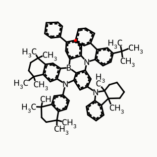 CC(C)(C)c1ccc(N2c3ccc(-c4ccccc4)cc3B3c4cc5c(cc4N(c4ccc6c(c4)C(C)(C)CCC6(C)C)c4cc(N6c7ccccc7C7(C)CCCCC67C)cc2c43)C(C)(C)CCC5(C)C)c(-c2ccccc2)c1